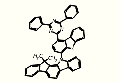 CC1(C)c2ccccc2-c2ccc3c4ccccc4n(-c4ccc(-c5nc(-c6ccccc6)nc(-c6ccccc6)n5)c5c4sc4ccccc45)c3c21